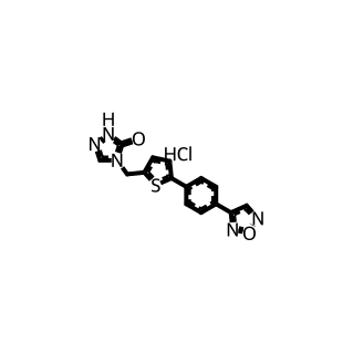 Cl.O=c1[nH]ncn1Cc1ccc(-c2ccc(-c3cnon3)cc2)s1